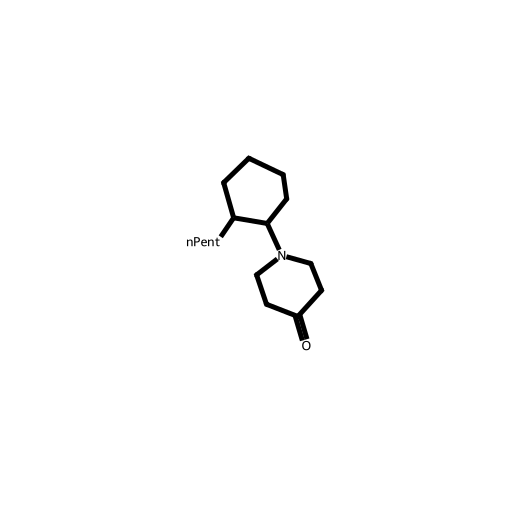 CCCCCC1CCCCC1N1CCC(=O)CC1